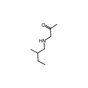 CCC(C)CNCC(C)=O